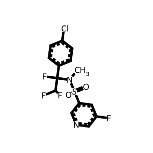 CN(C(F)(c1ccc(Cl)cc1)C(F)F)S(=O)(=O)c1cncc(F)c1